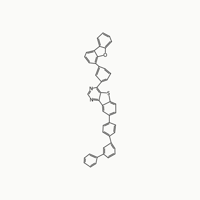 c1ccc(-c2cccc(-c3ccc(-c4ccc5sc6c(-c7cccc(-c8cccc9c8oc8ccccc89)c7)ncnc6c5c4)cc3)c2)cc1